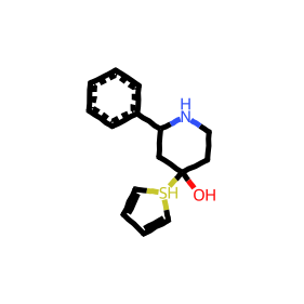 OC1([SH]2C=CC=C2)CCNC(c2ccccc2)C1